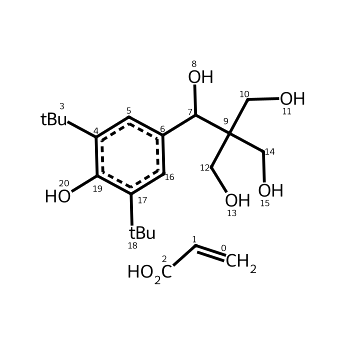 C=CC(=O)O.CC(C)(C)c1cc(C(O)C(CO)(CO)CO)cc(C(C)(C)C)c1O